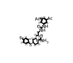 CC(=O)c1cc(NC(=O)NCCC[C@H]2C[C@H](Cc3ccc(F)cc3)CCN2C(N)=O)cc(C(C)=O)c1